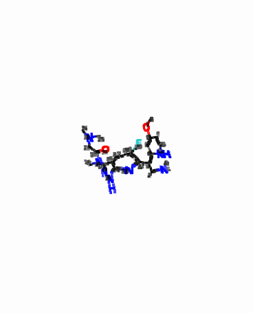 C/N=C\C(=C1\C=C(OC)C=CN1)c1nc2[nH]nc(N(C)C(=O)CN(C)C)c2cc1F